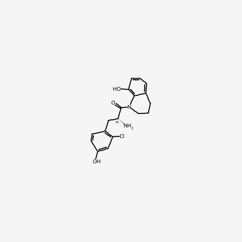 N[C@H](Cc1ccc(O)cc1Cl)C(=O)N1CCCc2cccc(O)c21